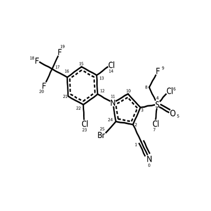 N#Cc1c(S(=O)(Cl)(Cl)CF)cn(-c2c(Cl)cc(C(F)(F)F)cc2Cl)c1Br